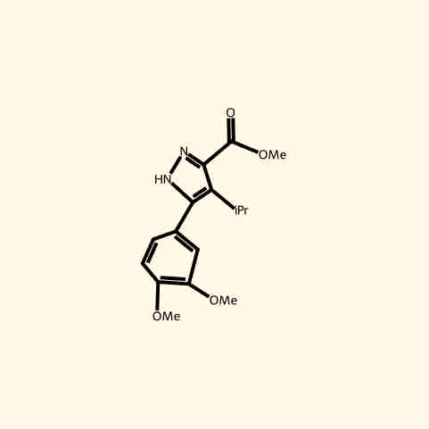 COC(=O)c1n[nH]c(-c2ccc(OC)c(OC)c2)c1C(C)C